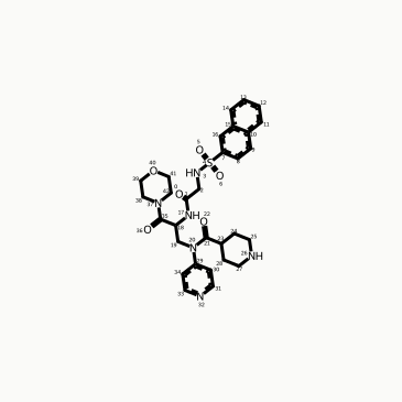 O=C(CNS(=O)(=O)c1ccc2ccccc2c1)NC(CN(C(=O)C1CCNCC1)c1ccncc1)C(=O)N1CCOCC1